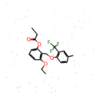 CCOc1cccc(OC(=O)CC)c1COc1ccc(C)cc1C(F)(F)F